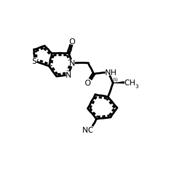 C[C@H](NC(=O)Cn1ncc2sccc2c1=O)c1ccc(C#N)cc1